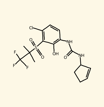 CC(C)(C(F)(F)F)S(=O)(=O)c1c(Cl)ccc(NC(=O)NC2C=CCC2)c1O